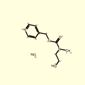 CN(CCO)C(=O)OCc1ccncc1.Cl